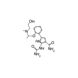 CC(Oc1ccccc1-c1cc(C(N)=O)c(NC(N)=O)[nH]1)N(C)CCO